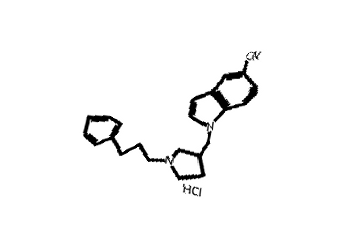 Cl.N#Cc1ccc2c(ccn2CC2CCN(CCCc3ccccc3)C2)c1